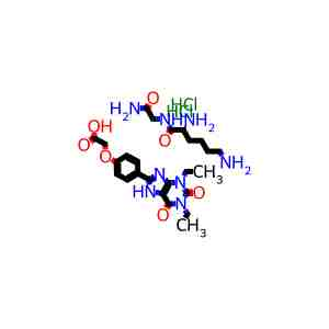 CCn1c(=O)c2[nH]c(-c3ccc(OCC(=O)O)cc3)nc2n(CC)c1=O.Cl.Cl.NCCCC[C@@H](N)C(=O)NCC(N)=O